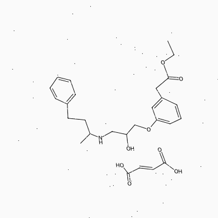 CCOC(=O)Cc1cccc(OCC(O)CNC(C)CCc2ccccc2)c1.O=C(O)/C=C/C(=O)O